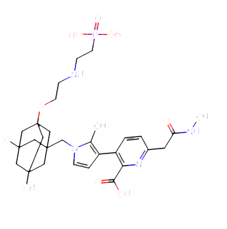 CNC(=O)Cc1ccc(-c2ccn(CC34CC5(C)CC(C)(C3)CC(OCCNCCP(=O)(O)O)(C5)C4)c2C)c(C(=O)O)n1